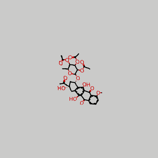 COc1cccc2c1C(=O)c1c(O)c3c(c(O)c1C2=O)C[C@@](O)(C(C)=O)C[C@@H]3OC1OC(C)C(OC(C)=O)C(OC(C)=O)C1OC(C)=O